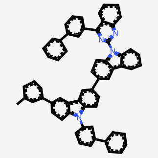 Cc1cccc(-c2ccc3c(c2)c2cc(-c4ccc5c(c4)c4ccccc4n5-c4nc(-c5cccc(-c6ccccc6)c5)c5ccccc5n4)ccc2n3-c2cccc(-c3ccccc3)c2)c1